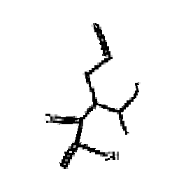 C=CCC(C(=O)C(=C)S)C(C)F